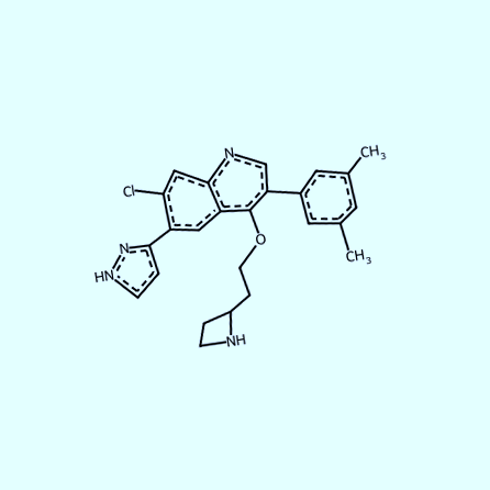 Cc1cc(C)cc(-c2cnc3cc(Cl)c(-c4cc[nH]n4)cc3c2OCCC2CCN2)c1